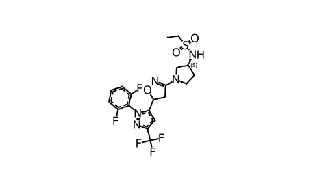 CCS(=O)(=O)N[C@H]1CCN(C2=NOC(c3cc(C(F)(F)F)nn3-c3c(F)cccc3F)C2)C1